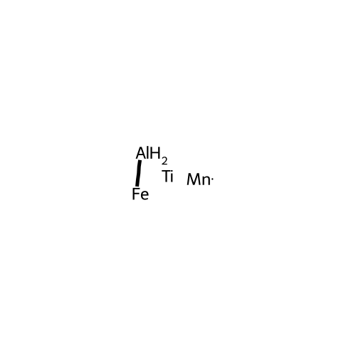 [AlH2][Fe].[Mn].[Ti]